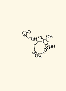 C[C@@H]1C[C@H]2O[C@@H]2/C=C/C=C/C(=N\OCCN2CCCC2=O)Cc2c(Cl)c(O)cc(O)c2C(=O)O1